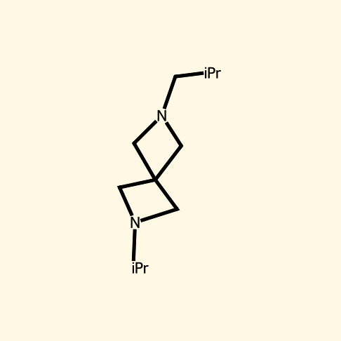 CC(C)CN1CC2(C1)CN(C(C)C)C2